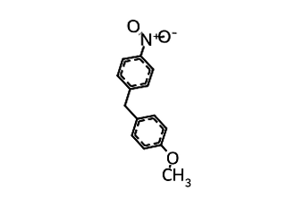 COc1ccc(Cc2ccc([N+](=O)[O-])cc2)cc1